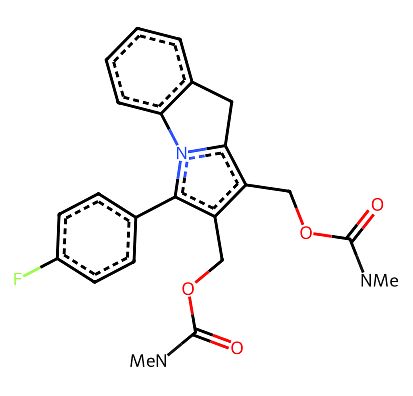 CNC(=O)OCc1c(COC(=O)NC)c(-c2ccc(F)cc2)n2c1Cc1ccccc1-2